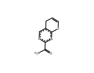 NC(=O)c1ncc2c(n1)OC=CC2